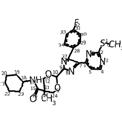 CSc1nccc(C2=NC(C3OCC(C)(C(=O)NC4CCCCC4)CO3)N=C2c2ccc(F)cc2)n1